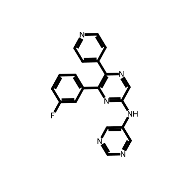 Fc1cccc(-c2nc(Nc3cncnc3)cnc2-c2ccncc2)c1